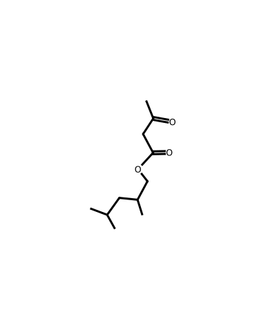 CC(=O)CC(=O)OCC(C)CC(C)C